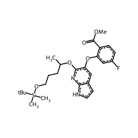 COC(=O)c1ccc(F)cc1Oc1cc2cc[nH]c2nc1OC(C)CCCO[Si](C)(C)C(C)(C)C